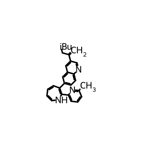 C=C(CC(C)CC)c1cnc2ccc(C3=C(c4cccc(C)n4)NC=CC=C3)cc2c1